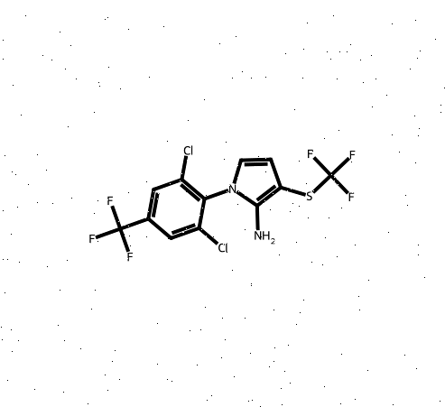 Nc1c(SC(F)(F)F)ccn1-c1c(Cl)cc(C(F)(F)F)cc1Cl